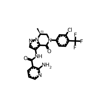 C[C@H]1CN(c2ccc(C(F)(F)F)c(Cl)c2)C(=O)c2c(NC(=O)c3cccnc3N)cnn21